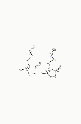 CC/C=C/CC1=C(C)CCC1=O.CC/C=C/CC1=C(C)CCC1=O